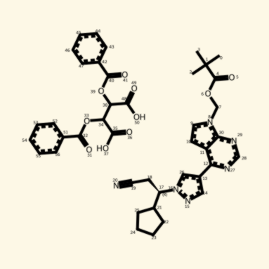 CC(C)(C)C(=O)OCn1ccc2c(-c3cnn([C@H](CC#N)C4CCCC4)c3)ncnc21.O=C(OC(C(=O)O)C(OC(=O)c1ccccc1)C(=O)O)c1ccccc1